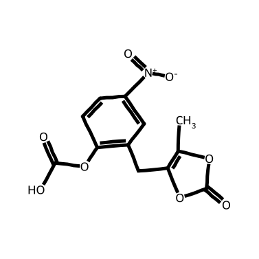 Cc1oc(=O)oc1Cc1cc([N+](=O)[O-])ccc1OC(=O)O